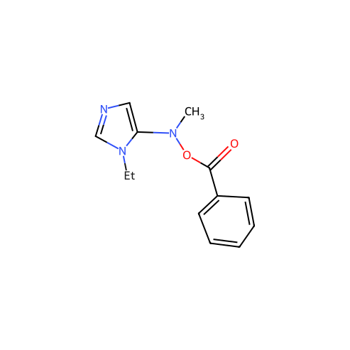 CCn1cncc1N(C)OC(=O)c1ccccc1